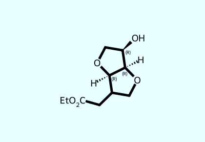 CCOC(=O)CC1CO[C@@H]2[C@H](O)CO[C@H]12